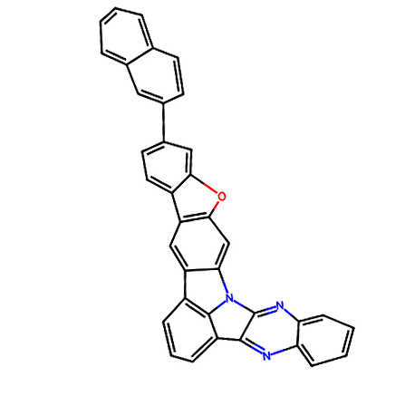 c1ccc2cc(-c3ccc4c(c3)oc3cc5c(cc34)c3cccc4c6nc7ccccc7nc6n5c34)ccc2c1